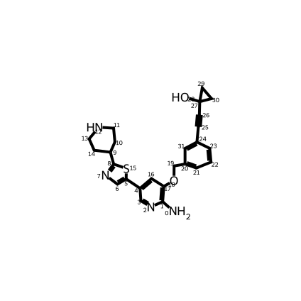 Nc1ncc(-c2cnc(C3CCNCC3)s2)cc1OCc1cccc(C#CC2(O)CC2)c1